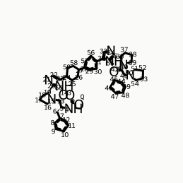 COC(=O)N[C@H](Cc1ccccc1)C(=O)N1CCC[C@H]1c1ncc(C2CCC(c3ccc(-c4cnc([C@@H]5CCCN5C(=O)[C@@H](c5ccccc5)N5CCCC5)[nH]4)cc3)CC2)[nH]1